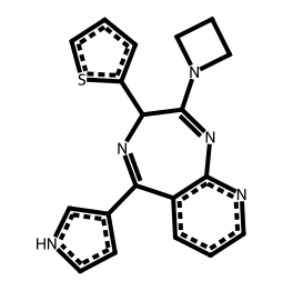 c1csc(C2N=C(c3cc[nH]c3)c3cccnc3N=C2N2CCC2)c1